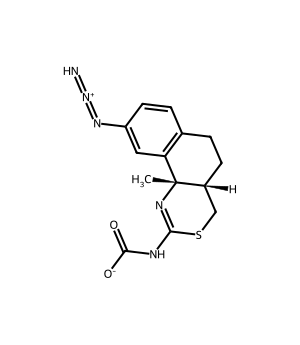 C[C@]12N=C(NC(=O)[O-])SC[C@H]1CCc1ccc(N=[N+]=N)cc12